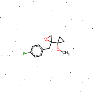 COC1(C2(Cc3ccc(F)cc3)CO2)CC1